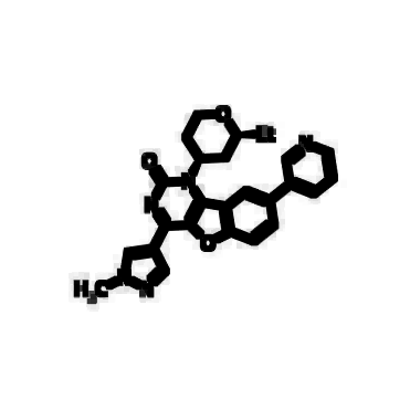 CC[C@H]1C[C@@H](n2c(=O)nc(-c3cnn(C)c3)c3oc4ccc(-c5cccnc5)cc4c32)CCO1